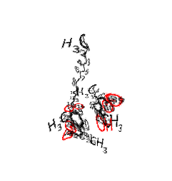 CCCCCCCCCCCCCCCC(=O)Oc1ccc2c(CCC)cc(=O)oc2c1C.CCCc1cc(=O)oc2c(C)c(O)ccc12